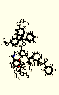 COc1ccc(C(OC[C@H]2O[C@@H](n3cnc4c(NC(=O)c5ccccc5)ncnc43)[C@H](O[SiH2]C(C)(C)C(C)C)[C@@H]2/N=C\c2ccccc2)(c2ccccc2)c2ccc(OC)cc2)cc1